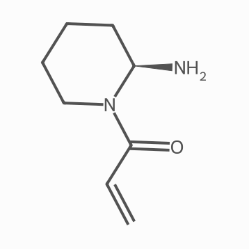 C=CC(=O)N1CCCC[C@H]1N